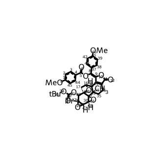 COc1ccc(C(=O)O/C(=C2/OC(=O)C3=C2[C@@H]2C4C[C@@]5(O4)[C@H](OC(=O)OC(C)(C)C)[C@@]4(C(C)C)O[C@H]4[C@@H]4O[C@@]45[C@@]2(C)CC3)c2ccc(OC)cc2)cc1